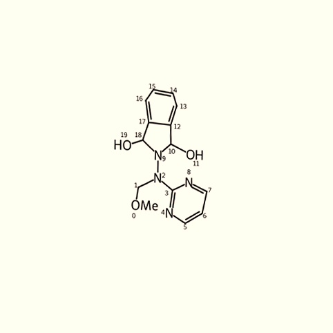 COCN(c1ncccn1)N1C(O)c2ccccc2C1O